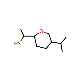 CC(C)C1CCC(C(C)S)OC1